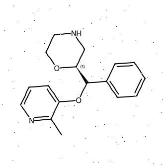 Cc1ncccc1OC(c1ccccc1)[C@@H]1CNCCO1